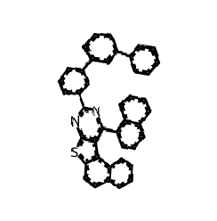 c1ccc(-c2cccc(-c3cccc(-c4nc(-c5cccc6ccccc56)c5c(n4)sc4ccc6ccccc6c45)c3)c2)cc1